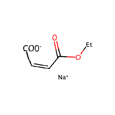 CCOC(=O)/C=C\C(=O)[O-].[Na+]